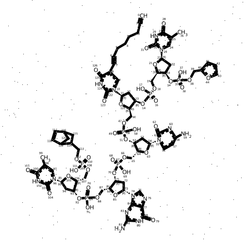 C#CCCCCC#Cc1cn([C@H]2C[C@@H](OP(=O)(O)OC[C@H]3O[C@@H](n4cc(C)c(=O)[nH]c4=O)C[C@H]3OP(=O)(O)OCc3ccco3)[C@@H](COP(=O)(O)O[C@@H]3C[C@H](n4ccc(N)nc4=O)O[C@@H]3COP(=O)(O)O[C@@H]3C[C@H](n4cnc5c(=O)[nH]c(N)nc54)O[C@@H]3COP(=O)(O)O[C@@H]3C[C@H](n4cc(C)c(=O)[nH]c4=O)O[C@@H]3COP(=O)(O)OCC3CC4C=CC3C4)O2)c(=O)[nH]c1=O